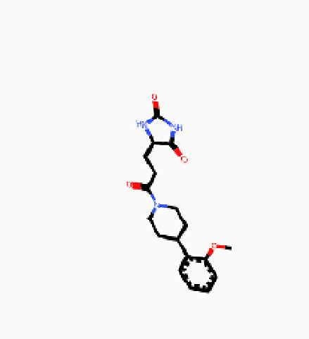 COc1ccccc1C1CCN(C(=O)CCC2NC(=O)NC2=O)CC1